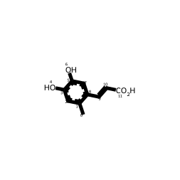 Cc1cc(O)c(O)cc1C=CC(=O)O